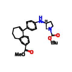 COC(=O)c1ccc2c(c1)CCCC=C2c1ccc(N[C@H]2CCN(C(=O)OC(C)(C)C)C2)cc1